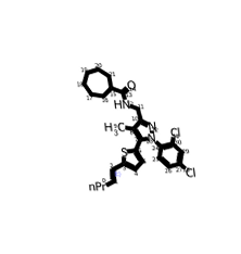 CCC/C=C/c1ccc(-c2c(C)c(CNC(=O)C3CCCCCC3)nn2-c2ccc(Cl)cc2Cl)s1